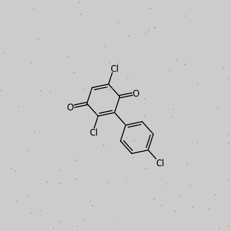 O=C1C=C(Cl)C(=O)C(c2ccc(Cl)cc2)=C1Cl